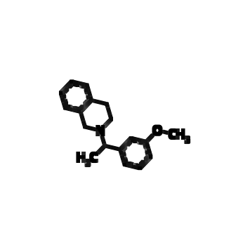 COc1cccc(C(C)N2CCc3ccccc3C2)c1